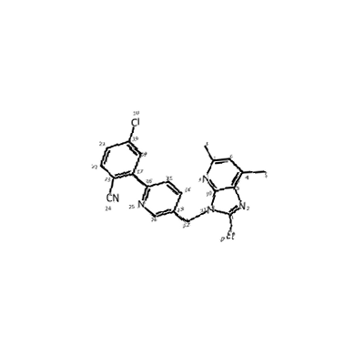 CCc1nc2c(C)cc(C)nc2n1Cc1ccc(-c2cc(Cl)ccc2C#N)nc1